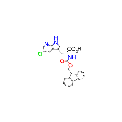 O=C(N[C@@H](Cc1c[nH]c2ncc(Cl)cc12)C(=O)O)OCC1c2ccccc2-c2ccccc21